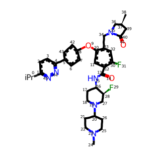 CC(C)c1ccc(-c2ccc(Oc3cc(C(=O)N[C@@H]4CCN(C5CCN(C)CC5)C[C@@H]4F)c(F)cc3CN3C[C@@H](C)CC3=O)cc2)nn1